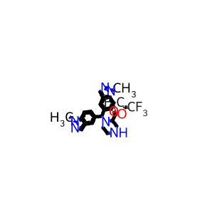 Cn1ncc2cc(C(c3ccc4c(cnn4C)c3)N3CCNCC3C(=O)OC(C(F)(F)F)C(F)(F)F)ccc21